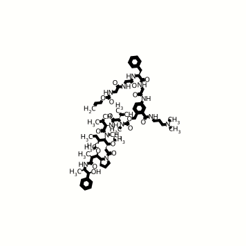 C=CCOC(=O)NCC(=O)NCC(=O)N[C@@H](Cc1ccccc1)C(=O)NCC(=O)Nc1ccc(COC(=O)N(C)[C@H](C(=O)N[C@H](C(=O)N(C)[C@@H]([C@@H](C)CC)[C@@H](CC(=O)N2CCC[C@H]2[C@H](OC)[C@@H](C)C(=O)N[C@H](C)[C@@H](O)c2ccccc2)OC)C(C)C)C(C)C)c(C(=O)NCCCN(C)C)c1